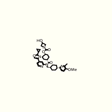 COc1ccc([C@H]2CC[C@H](CN(c3cc(-c4coc(C5CC5)n4)ccn3)C(=O)[C@H]3CC[C@H](OC(=O)N4CC(O)C4)CC3)CC2)nc1C